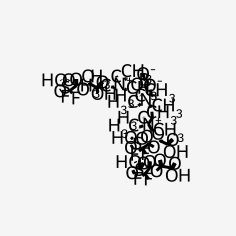 CC[N+](C)(CC)CC.CC[N+](C)(CC)CC.CC[N+](C)(CC)CC.O=C(O)C(=O)OC(=O)C(F)(F)S(=O)(=O)O.O=C(O)C(=O)OC(=O)C(F)(F)S(=O)(=O)O.O=C(O)C(=O)OC(=O)C(F)(F)S(=O)(=O)O.[O-]B([O-])[O-]